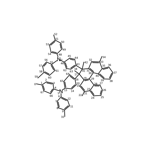 Cc1ccc(N(c2ccc(C)cc2)c2ccc(C3(C)c4cc(C)c5ccccc5c4-c4c(cc(C)c5ccccc45)C3(C)c3ccc(N(c4ccc(C)cc4)c4ccc(C)cc4)cc3)cc2)cc1